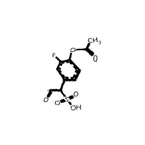 CC(=O)Oc1ccc(C([C]=O)S(=O)(=O)O)cc1F